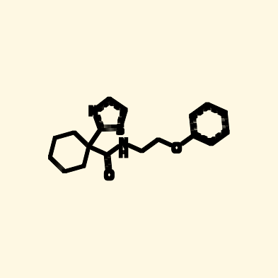 O=C(NCCOc1ccccc1)C1(c2nccs2)CCCCC1